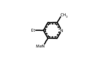 CCc1cc(C)ncc1NC